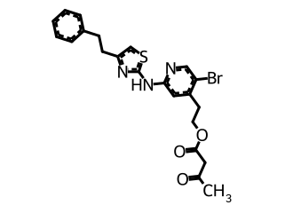 CC(=O)CC(=O)OCCc1cc(Nc2nc(CCc3ccccc3)cs2)ncc1Br